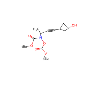 CC(C#C[C@H]1C[C@H](O)C1)N(OC(=O)OC(C)(C)C)C(=O)OC(C)(C)C